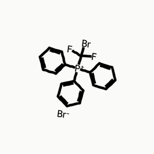 FC(F)(Br)[P+](c1ccccc1)(c1ccccc1)c1ccccc1.[Br-]